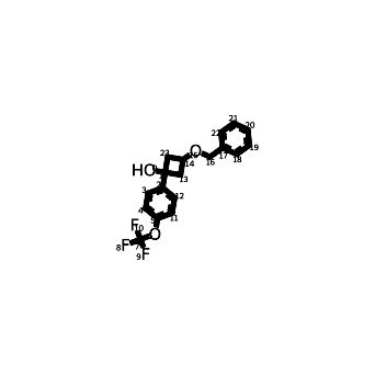 OC1(c2ccc(OC(F)(F)F)cc2)CC(OCc2ccccc2)C1